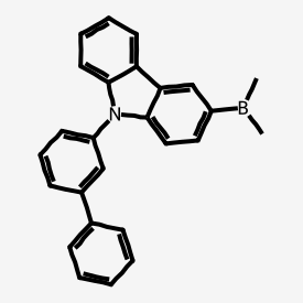 CB(C)c1ccc2c(c1)c1ccccc1n2-c1cccc(-c2ccccc2)c1